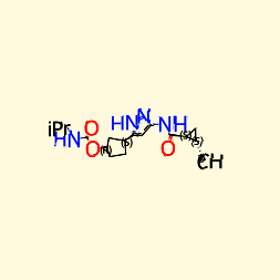 C#C[C@H]1C[C@@H]1C(=O)Nc1cc([C@H]2CC[C@@H](OC(=O)NC(C)C)C2)[nH]n1